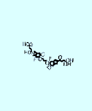 COc1cc2c(c(F)c1OCCCOc1c(OC)cc3c(c1F)CN(C(O)CCC(=O)O)C3)C=C(C(=O)CCC(O)O)C2